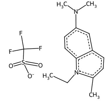 CC[n+]1c(C)ccc2cc(N(C)C)ccc21.O=S(=O)([O-])C(F)(F)F